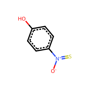 [O-][N+](=S)c1ccc(O)cc1